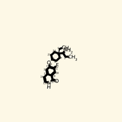 CCC(N)[C@]1(CC)CC[C@H](Oc2cc3cc[nH]c(=O)c3cc2F)CC1